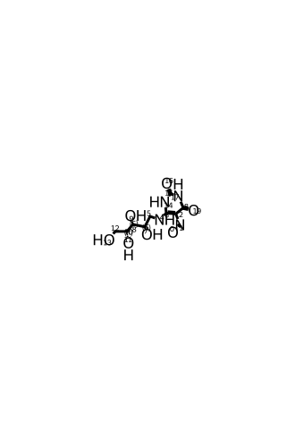 O=Nc1c(NC[C@H](O)[C@H](O)[C@H](O)CO)[nH]c(=O)[nH]c1=O